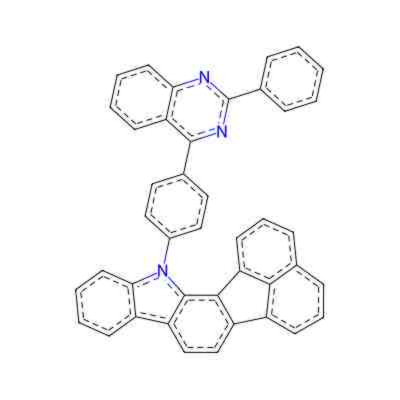 c1ccc(-c2nc(-c3ccc(-n4c5ccccc5c5ccc6c(c54)-c4cccc5cccc-6c45)cc3)c3ccccc3n2)cc1